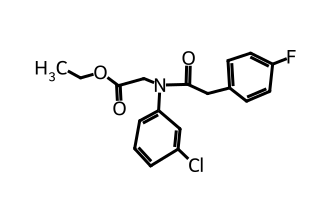 CCOC(=O)CN(C(=O)Cc1ccc(F)cc1)c1cccc(Cl)c1